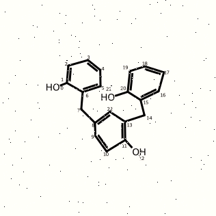 Oc1ccccc1Cc1ccc(O)c(Cc2ccccc2O)c1